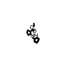 CCOC(=O)C1CCCC1NCc1ccccc1